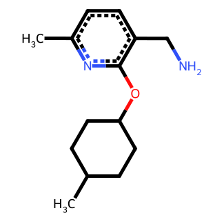 Cc1ccc(CN)c(OC2CCC(C)CC2)n1